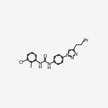 Cc1c(Cl)cccc1NC(=O)Nc1ccc(-n2cc(CCC(C)C)nn2)cc1